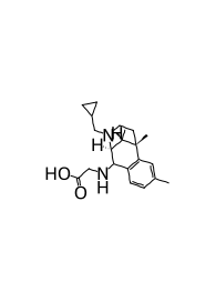 Cc1ccc2c(c1)[C@@]1(C)CCN(CC3CC3)[C@H](C2NCC(=O)O)[C@@H]1C